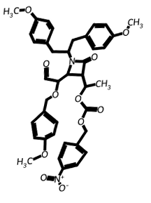 COc1ccc(COC(C=O)C2C(C(C)OC(=O)OCc3ccc([N+](=O)[O-])cc3)C(=O)N2C(Cc2ccc(OC)cc2)Cc2ccc(OC)cc2)cc1